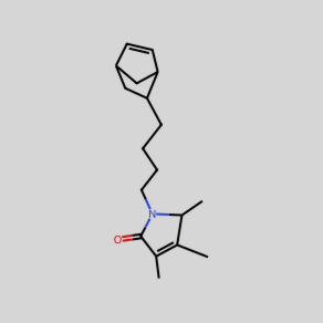 CC1=C(C)C(C)N(CCCCC2CC3C=CC2C3)C1=O